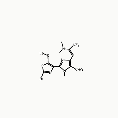 CCSc1sc(Br)nc1-c1nc(/C=C(\N(C)C)C(F)(F)F)c(C=O)n1C